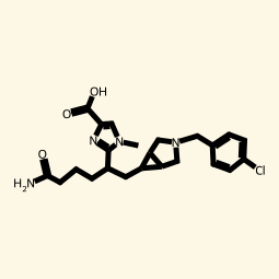 Cn1cc(C(=O)O)nc1C(CCCC(N)=O)CC1C2CN(Cc3ccc(Cl)cc3)CC12